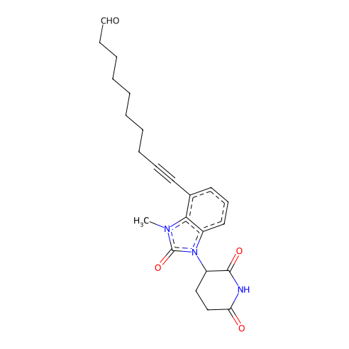 Cn1c(=O)n(C2CCC(=O)NC2=O)c2cccc(C#CCCCCCCCC=O)c21